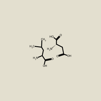 CC(C)CC(N)C(=O)O.N[C@@H](CC(=O)O)C(=O)O